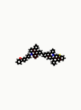 c1ccc(N(c2ccc3c(c2)sc2ccccc23)c2ccccc2-c2cc3ccccc3c3ccccc23)c(-c2ccc3ccc(-c4ccc5cc(-c6ccccc6N(c6ccc(-c7ccc8c(c7)oc7ccccc78)cc6)c6ccccc6-c6ccc7ccccc7c6)c6ccccc6c5c4)cc3c2)c1